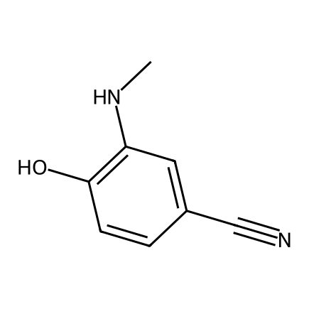 CNc1cc(C#N)ccc1O